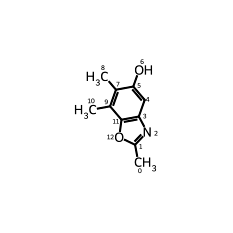 Cc1nc2cc(O)c(C)c(C)c2o1